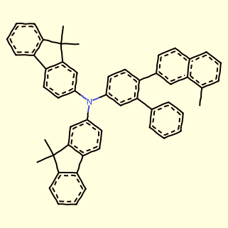 Cc1cccc2ccc(-c3ccc(N(c4ccc5c(c4)C(C)(C)c4ccccc4-5)c4ccc5c(c4)C(C)(C)c4ccccc4-5)cc3-c3ccccc3)cc12